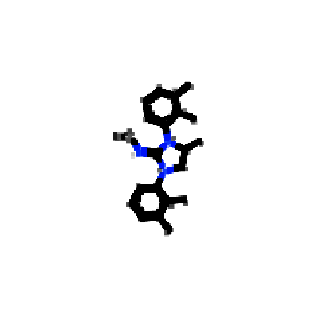 CCOC(=O)N=C1N(c2cccc(C)c2C)CC(C)N1c1cccc(C)c1C